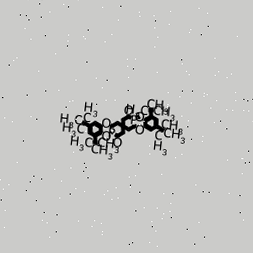 CC(C)(C)c1ccc(OP2C(=O)CC3(CC2=O)CC(=O)P(Oc2ccc(C(C)(C)C)cc2C(C)(C)C)C(=O)C3)c(C(C)(C)C)c1